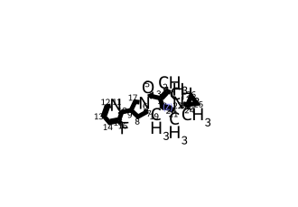 CC(C)=C(C(=O)N1CCC(c2ncccc2F)C1)/C(C)=C(/C)NC1(C)CC1